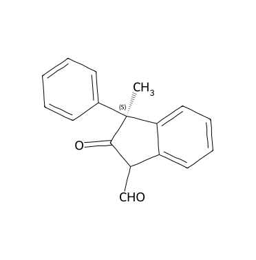 C[C@@]1(c2ccccc2)C(=O)C(C=O)c2ccccc21